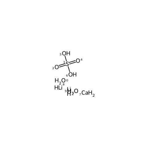 O.O.O=S(=O)(O)O.[CaH2].[LiH].[LiH]